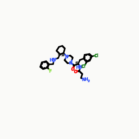 NCCC(=O)N[C@H](Cc1ccc(Cl)cc1Cl)C(=O)N1CCN([C@@H]2CCCC[C@@H]2CNCc2ccccc2F)CC1